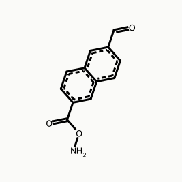 NOC(=O)c1ccc2cc(C=O)ccc2c1